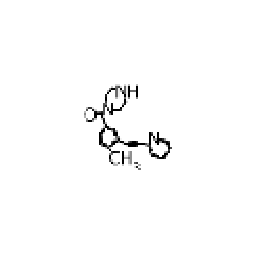 Cc1ccc(C(=O)N2CCNCC2)cc1C#Cc1ccccn1